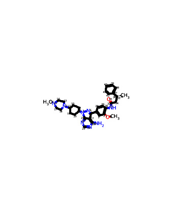 COc1cc(-c2nn(C3CCC(N4CCN(C)CC4)CC3)c3ncnc(N)c23)ccc1NC(=O)C[C@@H](C)c1ccccc1